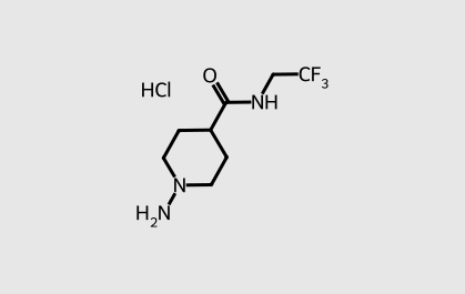 Cl.NN1CCC(C(=O)NCC(F)(F)F)CC1